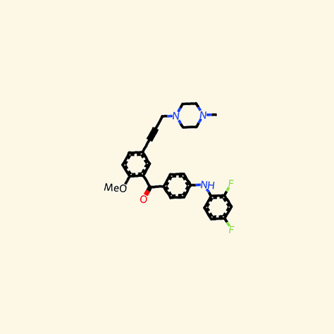 COc1ccc(C#CCN2CCN(C)CC2)cc1C(=O)c1ccc(Nc2ccc(F)cc2F)cc1